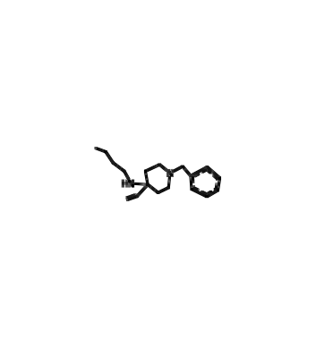 C=CC1(NCCCC)CCN(Cc2ccccc2)CC1